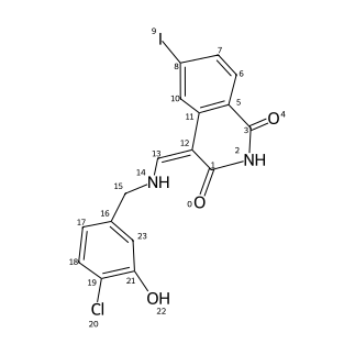 O=C1NC(=O)c2ccc(I)cc2/C1=C/NCc1ccc(Cl)c(O)c1